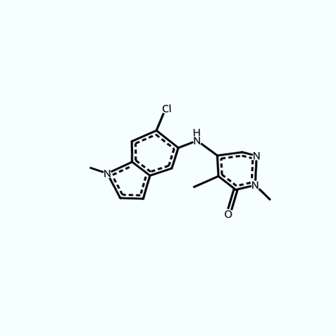 Cc1c(Nc2cc3ccn(C)c3cc2Cl)cnn(C)c1=O